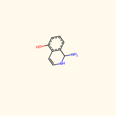 NC1NC=Cc2c(O)c[c]cc21